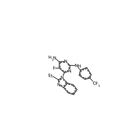 CCc1nc2ccccc2n1-c1nc(Nc2ccc(C(F)(F)F)cc2)nc(N)c1F